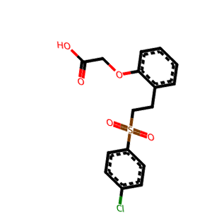 O=C(O)COc1ccccc1CCS(=O)(=O)c1ccc(Cl)cc1